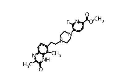 COC(=O)c1ccc(N2CCN(CCc3ccc4nc(C)c(=O)[nH]c4c3C)CC2)c(F)n1